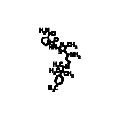 C=C(/N=C\C=C(/N)c1sc(NC(=O)N2CCC[C@H]2C(N)=O)nc1C)C(C)(C)c1ccc(C)cc1